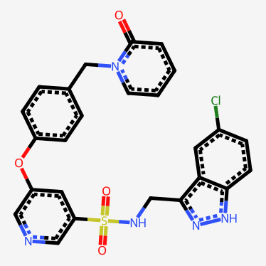 O=c1ccccn1Cc1ccc(Oc2cncc(S(=O)(=O)NCc3n[nH]c4ccc(Cl)cc34)c2)cc1